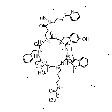 CCCCN(CCSSc1ccccn1)C(=O)CC[C@@H]1NC(=O)[C@H](Cc2ccccc2)NC(=O)[C@H]([C@@H](C)O)NC[C@H](CCCCNC(=O)OC(C)(C)C)NC(=O)[C@@H](Cc2c[nH]c3ccccc23)NC(=O)[C@H](Cc2ccc(O)cc2)NC1=O